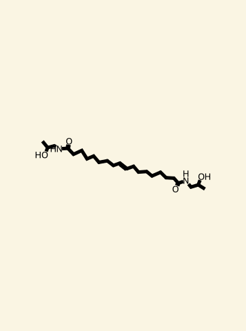 CC(O)CNC(=O)CCCCCCC/C=C/CCCCCCCC(=O)NCC(C)O